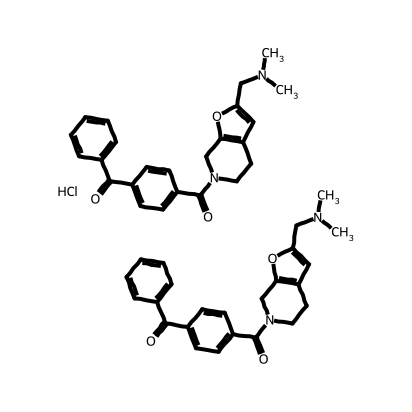 CN(C)Cc1cc2c(o1)CN(C(=O)c1ccc(C(=O)c3ccccc3)cc1)CC2.CN(C)Cc1cc2c(o1)CN(C(=O)c1ccc(C(=O)c3ccccc3)cc1)CC2.Cl